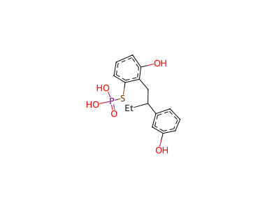 CCC(Cc1c(O)cccc1SP(=O)(O)O)c1cccc(O)c1